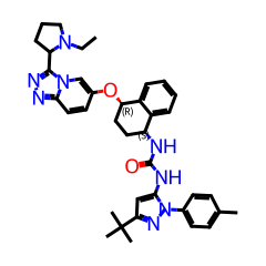 CCN1CCCC1c1nnc2ccc(O[C@@H]3CC[C@H](NC(=O)Nc4cc(C(C)(C)C)nn4-c4ccc(C)cc4)c4ccccc43)cn12